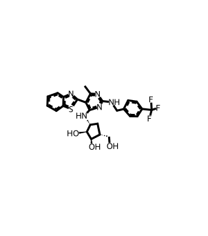 Cc1nc(NCc2ccc(C(F)(F)F)cc2)nc(N[C@@H]2C[C@H](CO)[C@@H](O)[C@H]2O)c1-c1nc2ccccc2s1